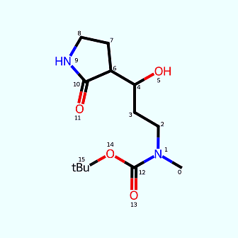 CN(CCC(O)C1CCNC1=O)C(=O)OC(C)(C)C